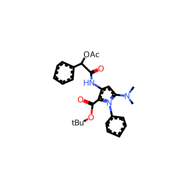 CC(=O)OC(C(=O)Nc1cc(N(C)C)n(-c2ccccc2)c1C(=O)OC(C)(C)C)c1ccccc1